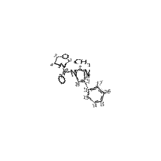 CC1OCCN1C(=O)n1cnc(-c2ccccc2)c1